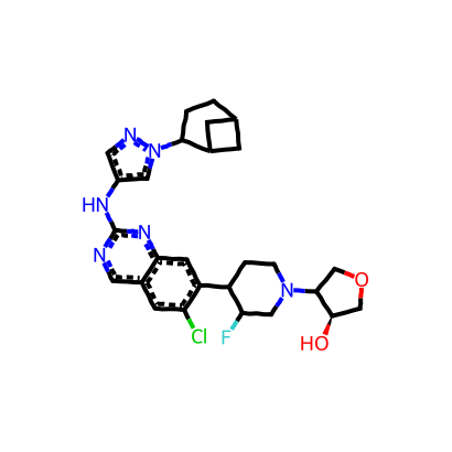 O[C@@H]1COCC1N1CCC(c2cc3nc(Nc4cnn(C5CCC6CC5C6)c4)ncc3cc2Cl)C(F)C1